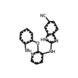 CC(C)(C)c1ccccc1Oc1ncccc1Nc1nc2ccc(C#N)cc2[nH]1